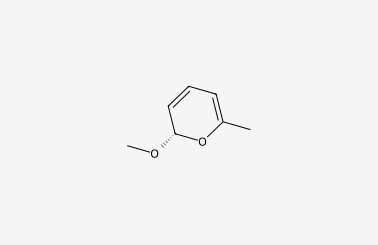 CO[C@@H]1C=CC=C(C)O1